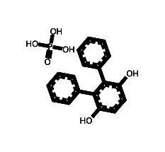 O=P(O)(O)O.Oc1ccc(O)c(-c2ccccc2)c1-c1ccccc1